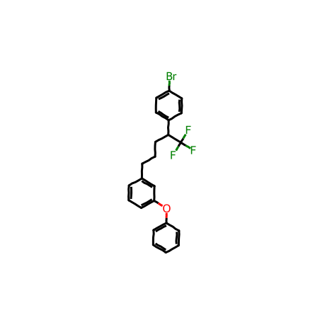 FC(F)(F)C(CCCc1cccc(Oc2ccccc2)c1)c1ccc(Br)cc1